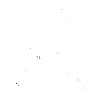 CC(=O)N1CCN(c2ccc(CN(C(=O)C=Cc3ccc(C(F)(F)F)cc3)C(Cc3ccccc3)C(=O)N(C)CCOCC(N)=O)cc2)CC1